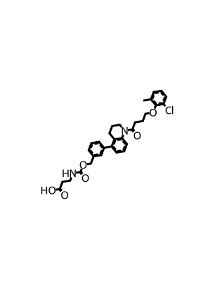 Cc1cccc(Cl)c1OCCCC(=O)N1CCCc2c(-c3cccc(COC(=O)NCCC(=O)O)c3)cccc21